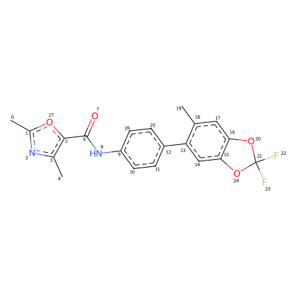 Cc1nc(C)c(C(=O)Nc2ccc(-c3cc4c(cc3C)OC(F)(F)O4)cc2)o1